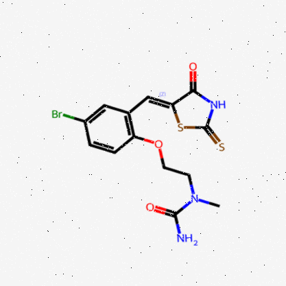 CN(CCOc1ccc(Br)cc1/C=C1\SC(=S)NC1=O)C(N)=O